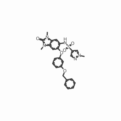 Cn1cc(S(=O)(=O)Nc2cc3c(cc2Oc2cccc(OCc4ccccc4)c2)n(C)c(=O)n3C)cn1